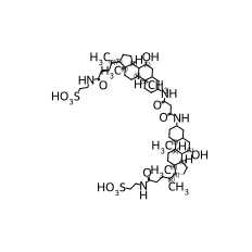 C[C@H](CCC(=O)NCCS(=O)(=O)O)[C@H]1CC[C@@H]2C3[C@@H](CC[C@@]21C)[C@@]1(C)CCC(NC(=O)CC(=O)NC2CC[C@@]4(C)C(C2)C[C@H](O)C2[C@H]5CC[C@H]([C@H](C)CCC(=O)NCCS(=O)(=O)O)[C@@]5(C)CC[C@H]24)CC1C[C@@H]3O